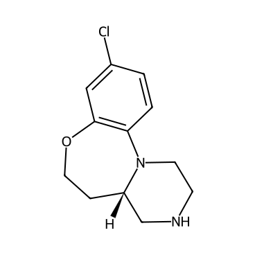 Clc1ccc2c(c1)OCC[C@H]1CNCCN21